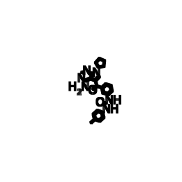 Cc1ccc(NC(=O)Nc2cccc(C(=O)c3cn(C4CCCC4)c4ncnc(N)c34)c2)cc1